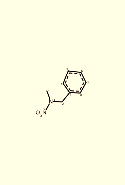 CN(Cc1ccccc1)[N+](=O)[O-]